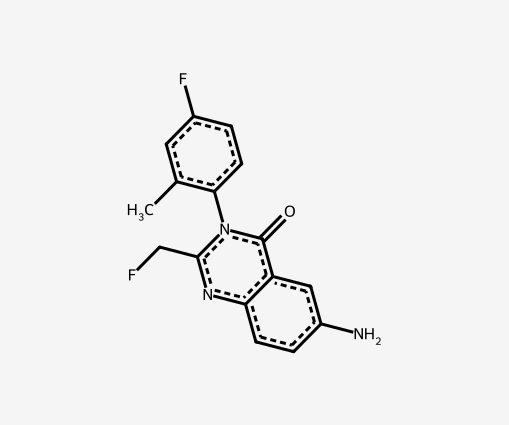 Cc1cc(F)ccc1-n1c(CF)nc2ccc(N)cc2c1=O